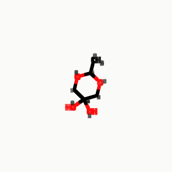 CC1OCC(O)(O)CO1